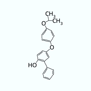 CC(C)Oc1ccc(Oc2ccc(O)c(-c3ccccc3)c2)cc1